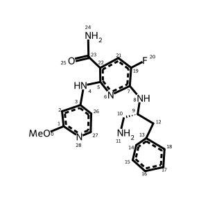 COc1cc(Nc2nc(N[C@@H](CN)Cc3ccccc3)c(F)cc2C(N)=O)ccn1